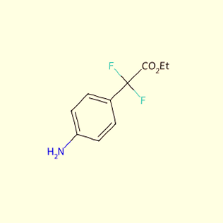 CCOC(=O)C(F)(F)c1ccc(N)cc1